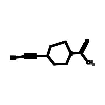 CC(=O)N1CCC(C#CS)CC1